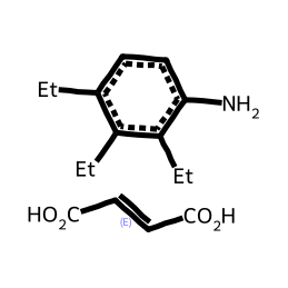 CCc1ccc(N)c(CC)c1CC.O=C(O)/C=C/C(=O)O